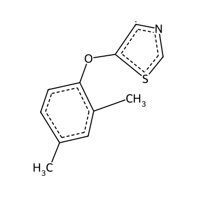 Cc1ccc(Oc2[c]ncs2)c(C)c1